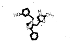 C=C1NC=C(Cc2c(-c3ccccc3)ncn2Cc2cccc(O)c2)O1